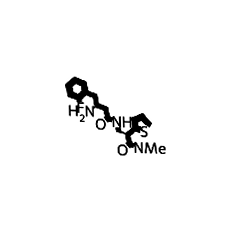 CNC(=O)[C@@H](CNC(=O)C[C@H](N)Cc1ccccc1F)c1cccs1